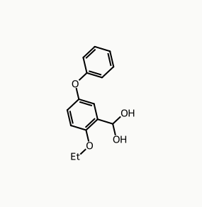 CCOc1ccc(Oc2ccccc2)cc1C(O)O